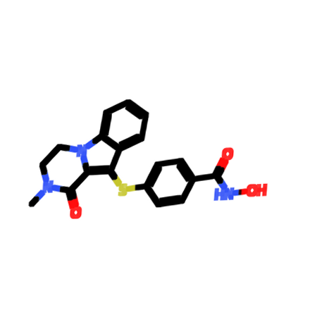 CN1CCn2c(c(Sc3ccc(C(=O)NO)cc3)c3ccccc32)C1=O